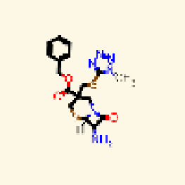 Cn1nnnc1SCC1(C(=O)OCc2ccccc2)CS[C@@H]2C(N)C(=O)N2C1